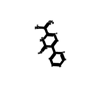 C=C(O)c1ncc(-c2ccccn2)c(=O)[nH]1